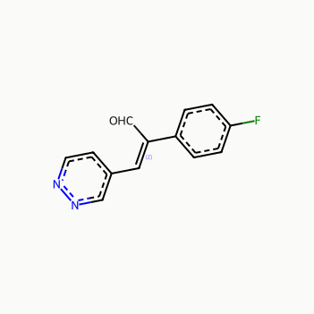 O=C/C(=C\c1ccnnc1)c1ccc(F)cc1